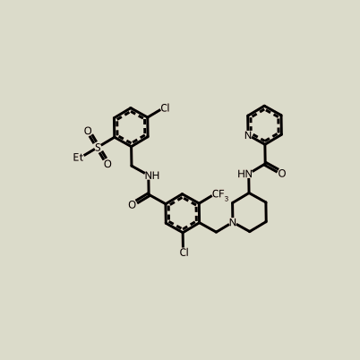 CCS(=O)(=O)c1ccc(Cl)cc1CNC(=O)c1cc(Cl)c(CN2CCCC(NC(=O)c3ccccn3)C2)c(C(F)(F)F)c1